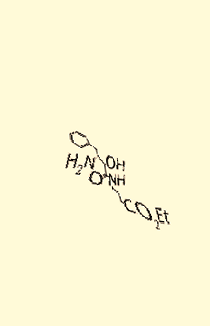 CCOC(=O)CCCNC(=O)C(O)[C@H](N)Cc1ccccc1